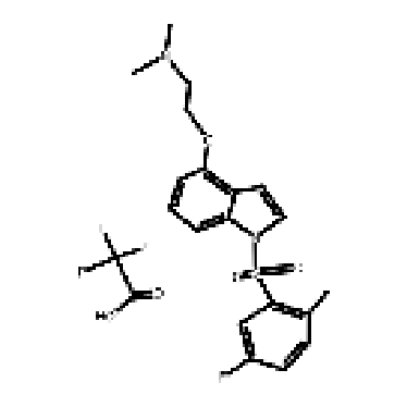 Cc1ccc(F)cc1S(=O)(=O)n1ccc2c(OCCN(C)C)cccc21.O=C(O)C(F)(F)F